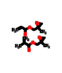 C=C(C)C(=O)OCC1(C)CO1.C=CC(=O)OCC1(C)CO1